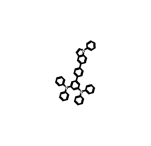 c1ccc(N(c2ccccc2)c2cc(-c3ccc(-c4ccc5c(ccn5-c5ccccc5)c4)cc3)cc(N(c3ccccc3)c3ccccc3)c2)cc1